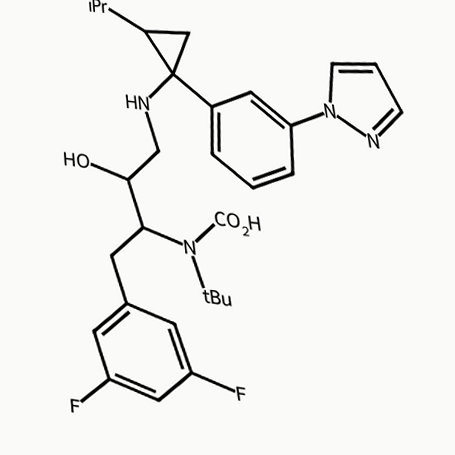 CC(C)C1CC1(NCC(O)C(Cc1cc(F)cc(F)c1)N(C(=O)O)C(C)(C)C)c1cccc(-n2cccn2)c1